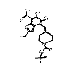 CCc1cc2c(s1)c(C(=O)O)c(O)c(=O)n2CC1CCN(C(=O)OC(C)(C)C)CC1